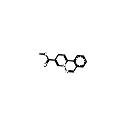 COC(=O)C1=CN2N=Cc3ccccc3C2=CC1